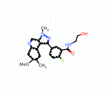 COc1cc2ncc3c(c(-c4ccc(F)c(C(=O)NCCO)c4)nn3C)c2cc1C